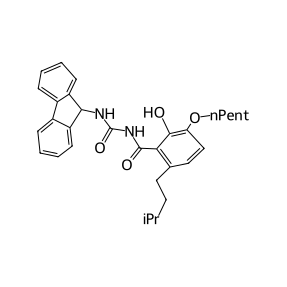 CCCCCOc1ccc(CCC(C)C)c(C(=O)NC(=O)NC2c3ccccc3-c3ccccc32)c1O